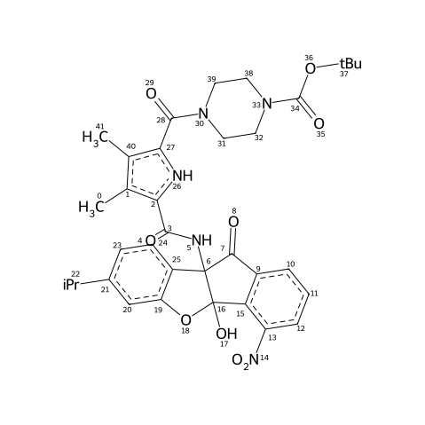 Cc1c(C(=O)NC23C(=O)c4cccc([N+](=O)[O-])c4C2(O)Oc2cc(C(C)C)ccc23)[nH]c(C(=O)N2CCN(C(=O)OC(C)(C)C)CC2)c1C